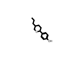 CCCC1CCC(c2ccc(O)cc2)OC1